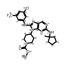 CC1(Nc2ncc3nc(Nc4cc(Cl)cc(C(F)(F)F)c4)n(C4CCN(C(=O)OC(C)(C)C)CC4)c3n2)CCCC1